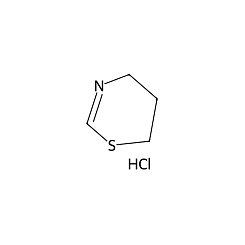 C1=NCCCS1.Cl